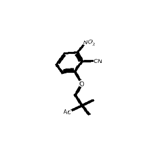 CC(=O)C(C)(C)COc1cccc([N+](=O)[O-])c1C#N